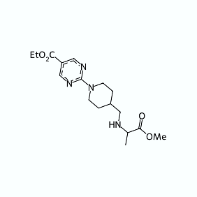 CCOC(=O)c1cnc(N2CCC(CNC(C)C(=O)OC)CC2)nc1